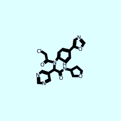 O=C(NC1CCOC1)C(c1cncnc1)N(C(=O)CCl)c1ccc(-c2cnco2)cc1